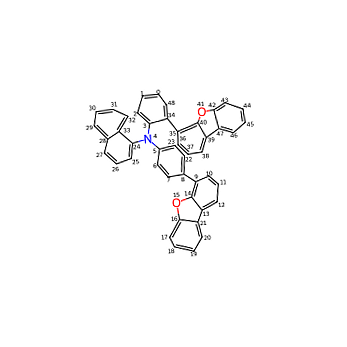 c1ccc(N(c2ccc(-c3cccc4c3oc3ccccc34)cc2)c2cccc3ccccc23)c(-c2cccc3c2oc2ccccc23)c1